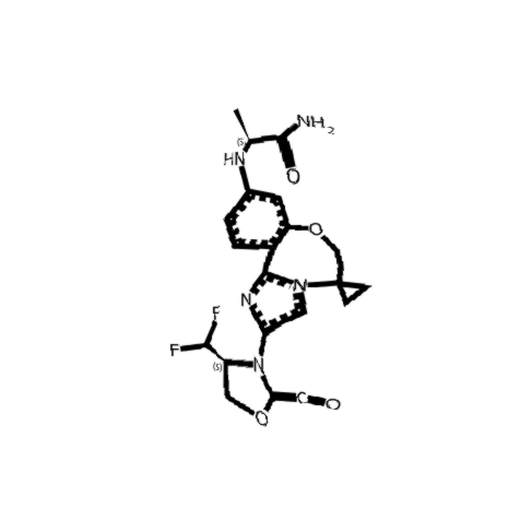 C[C@H](Nc1ccc2c(c1)OCC1(CC1)n1cc(N3C(=C=O)OC[C@H]3C(F)F)nc1-2)C(N)=O